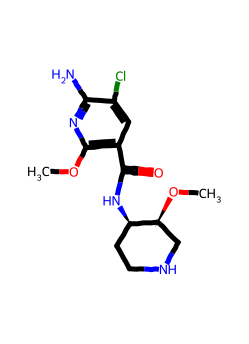 COc1nc(N)c(Cl)cc1C(=O)N[C@@H]1CCNC[C@@H]1OC